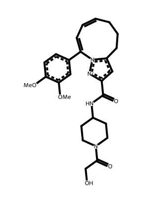 COc1ccc(/C2=C/C=C\CCCc3cc(C(=O)NC4CCN(C(=O)CO)CC4)nn32)cc1OC